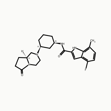 Cc1ccc(F)c2cc(C(=O)N[C@@H]3CCC[C@H](N4CCN5C(=O)CC[C@H]5C4)C3)[nH]c12